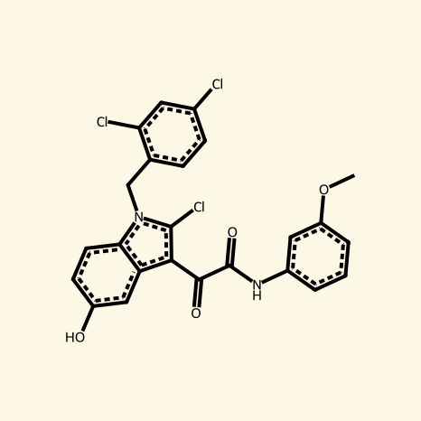 COc1cccc(NC(=O)C(=O)c2c(Cl)n(Cc3ccc(Cl)cc3Cl)c3ccc(O)cc23)c1